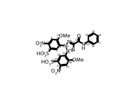 COc1cc([N+](=O)[O-])c(S(=O)(=O)O)cc1-n1nc(C(=O)Nc2ccccc2)n[n+]1-c1cc(S(=O)(=O)O)c([N+](=O)[O-])cc1OC